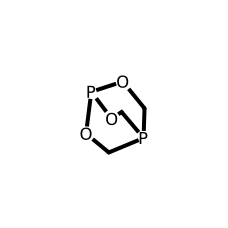 C1OP2OCP1CO2